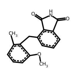 COc1cccc(C)c1Cc1cccc2c1C(=O)NC2=O